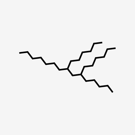 CCCCCCCC([CH]C(CCCCC)CCCCCC)CCCCCC